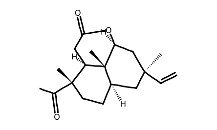 C=C[C@@]1(C)C[C@H]2CC[C@](C)(C(C)=O)[C@H]3CC(=O)O[C@@H](C1)[C@]23C